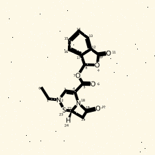 CCN1C=C(C(=O)OC2OC(=O)c3ccccc32)N2C(=O)C[C@@H]2S1